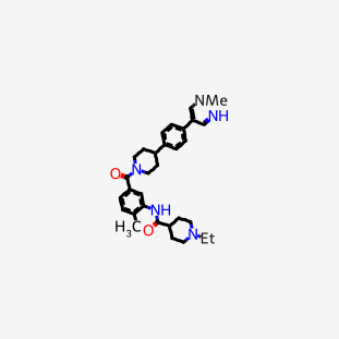 CCN1CCC(C(=O)Nc2cc(C(=O)N3CCC(c4ccc(/C(C=N)=C/NC)cc4)CC3)ccc2C)CC1